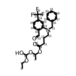 CCOC(O)OC(C)OC(=O)CCCN(Cc1ccccc1)c1cc(C(F)(F)F)ccc1C=O